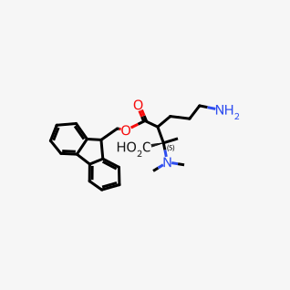 CN(C)[C@](C)(C(=O)O)C(CCCN)C(=O)OCC1c2ccccc2-c2ccccc21